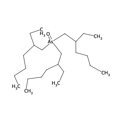 CCCCC(CC)C[As](=O)(CC(CC)CCCC)CC(CC)CCCC